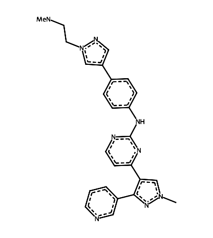 CNCCn1cc(-c2ccc(Nc3nccc(-c4cn(C)nc4-c4cccnc4)n3)cc2)cn1